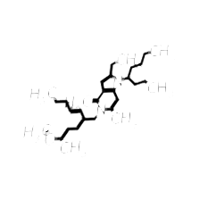 C=C1c2cc(CC)n(C(CCC)CCCC)c2C=C(C)N1CC(/C=C/CCC)=C/C=C(\C)OC